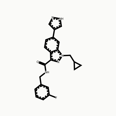 O=C(NCc1cccc(F)c1)c1nn(CC2CC2)c2cc(-c3cn[nH]c3)ccc12